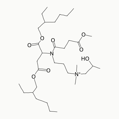 CCCCC(CC)COC(=O)CC(C(=O)OCC(CC)CCCC)N(CCC[N+](C)(C)CC(C)O)C(=O)CCC(=O)OC